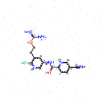 C/N=C(/N)OCCc1cc(NC(=O)c2ccc(C#N)cn2)cnc1F